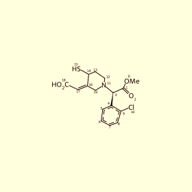 COC(=O)[C@@H](c1ccccc1Cl)N1CCC(S)/C(=C\C(=O)O)C1